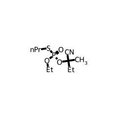 CCCSP(=O)(OCC)OC(C)(C#N)CC